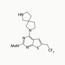 CNc1nc(N2CCC3(CCNC3)C2)c2cc(CC(F)(F)F)sc2n1